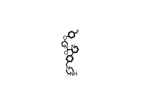 C[C@@H]1CN(Cc2ccc(-c3cccnc3C(=O)N3CC[C@@H](Oc4ccc(F)cc4)C3)cc2)C[C@H](C)N1